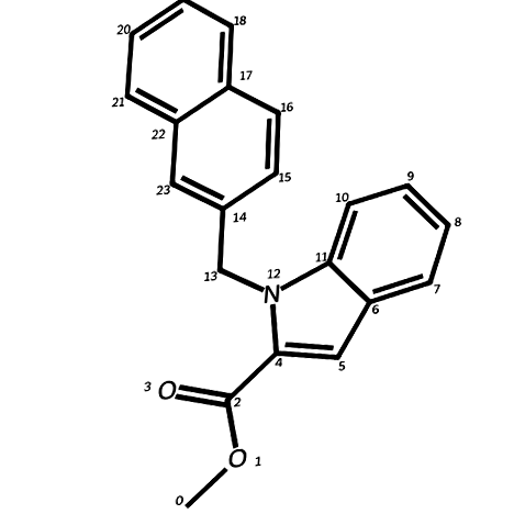 COC(=O)c1cc2ccccc2n1Cc1ccc2ccccc2c1